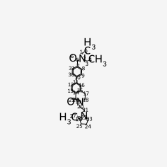 CCN(CC)C(=O)c1ccc(-c2ccc3c(c2)CCN(CCN2CCC[C@H]2C)C3=O)cc1